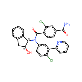 NC(=O)c1ccc(C(=O)N(c2ccc(Cl)c(-c3ccccn3)c2)[C@@H]2c3ccccc3C[C@@H]2O)c(Cl)c1